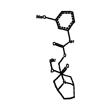 COc1cccc(NC(=O)OCC2CC3CCC(C2)N3C(=O)OC(C)(C)C)c1